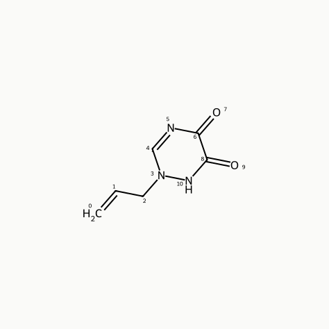 C=CCn1[c]nc(=O)c(=O)[nH]1